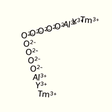 [Al+3].[Al+3].[O-2].[O-2].[O-2].[O-2].[O-2].[O-2].[O-2].[O-2].[O-2].[Tm+3].[Tm+3].[Y+3].[Y+3]